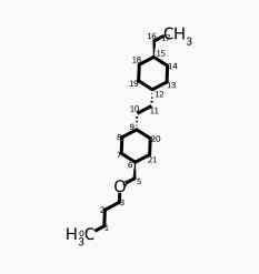 CCCCOC[C@H]1CC[C@H](CC[C@H]2CC[C@H](CC)CC2)CC1